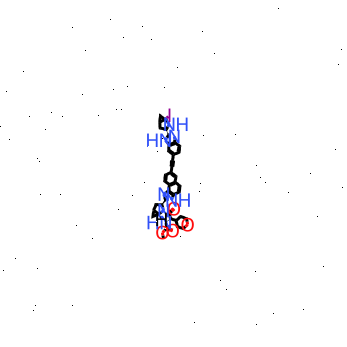 COC(=O)N[C@H](C(=O)N1[C@@H]2CC2C[C@H]1c1nc2c(ccc3cc(C#Cc4ccc5nc([C@@H]6CC7CC7(I)N6)[nH]c5c4)ccc32)[nH]1)C1CCOCC1